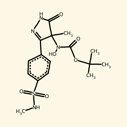 CNS(=O)(=O)c1ccc(C2=NNC(=O)C2(C)N(O)C(=O)OC(C)(C)C)cc1